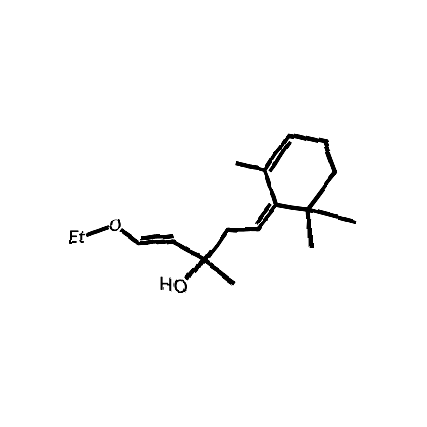 CCOC=CC(C)(O)CC=C1C(C)=CCCC1(C)C